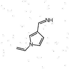 C=Cn1ccc(C=N)c1